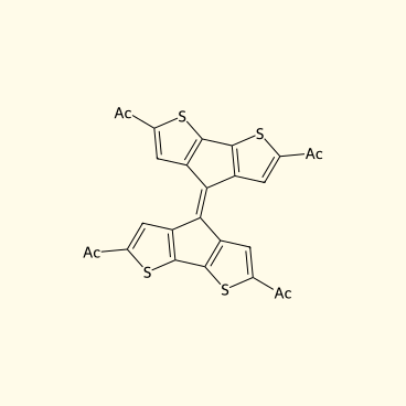 CC(=O)c1cc2c(s1)-c1sc(C(C)=O)cc1C2=C1c2cc(C(C)=O)sc2-c2sc(C(C)=O)cc21